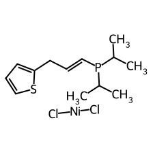 CC(C)P(C=CCc1cccs1)C(C)C.[Cl][Ni][Cl]